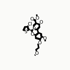 COCCCOc1cc2c(cc1OC)-c1cc(=O)c(C(=O)OC)cn1[C@H](c1sccc1Cl)O2